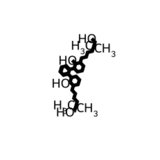 CC(C)(CO)CCCCC1CCCC(c2ccccc2C2CCCC(CCCCC(C)(C)CO)C2O)C1O